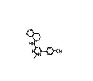 Cc1nc(N[C@@H]2CCCc3ccccc32)cc(-c2ccc(C#N)cc2)n1